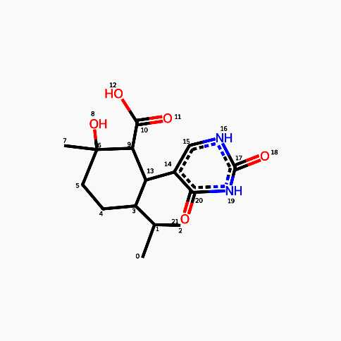 CC(C)C1CCC(C)(O)C(C(=O)O)C1c1c[nH]c(=O)[nH]c1=O